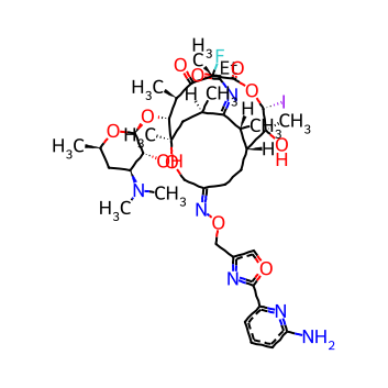 CCC(=O)/N=C1\[C@H](C)C[C@@]2(C)OC/C(=N/OCc3coc(-c4cccc(N)n4)n3)CC[C@H]([C@H]1C)[C@](C)(O)[C@@H](I)OC(=O)[C@@](C)(F)C(=O)[C@H](C)[C@H]2O[C@@H]1O[C@H](C)C[C@H](N(C)C)[C@H]1O